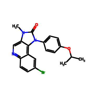 CC(C)Oc1ccc(-n2c(=O)n(C)c3cnc4ccc(Br)cc4c32)cc1